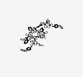 CN(C)CCCC[C@H](NC(=O)[C@H](CSSC(C)(C)C)NC(=O)OCc1ccc(N=[N+]=[N-])cc1)C(=O)NC(C(=O)OCC(=O)N1CCC[C@H]1C(=O)N[C@@H](CCCCNC(=O)[C@@H]1CSCN1C(=O)OCc1ccc(N=[N+]=[N-])cc1)C(=O)N[C@@H](CC(=O)O)C(=O)N1CCC[C@H]1C(N)=O)c1c[nH]c2ccccc12